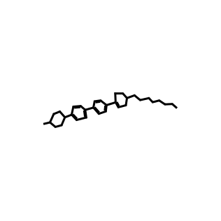 CCCCCCCCC1CC=C(c2ccc(-c3ccc(C4CCC(C)CC4)cc3)cc2)CC1